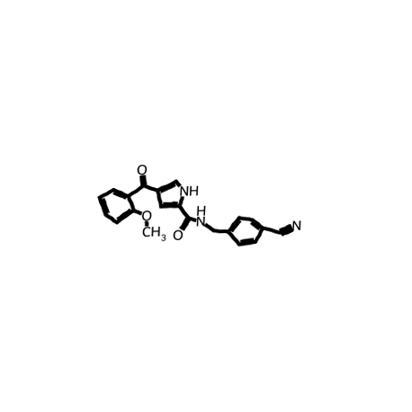 COc1ccccc1C(=O)c1c[nH]c(C(=O)NCc2ccc(C#N)cc2)c1